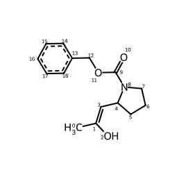 CC(O)=CC1CCCN1C(=O)OCc1ccccc1